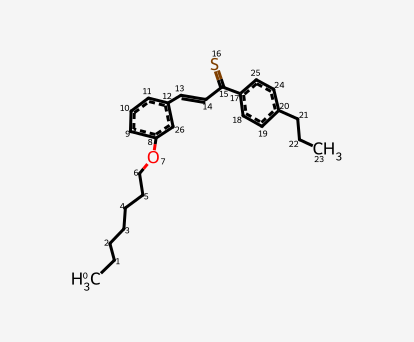 CCCCCCCOc1cccc(C=CC(=S)c2ccc(CCC)cc2)c1